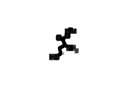 CCCCOC(=O)C(N)C[CH]O